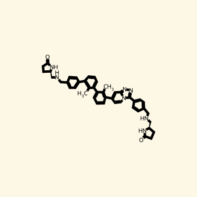 Cc1c(-c2ccc(CNC[C@H]3CCC(=O)N3)cc2)cccc1-c1cccc(-c2ccn3c(-c4ccc(CNC[C@H]5CCC(=O)N5)cc4)nnc3c2)c1C